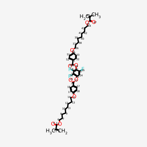 C=C(C)C(=O)OCCCCCCCCCOc1ccc(C(=O)Oc2cc(F)c(OC(=O)c3ccc(OCCCCCCCCCOC(=O)C(=C)C)cc3)c(F)c2F)cc1